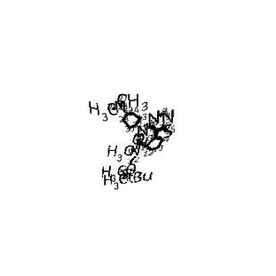 CN(CCO[Si](C)(C)C(C)(C)C)C(=O)C1CCc2sc3ncnc(N[C@H]4CC[C@H](N(C)C)CC4)c3c21